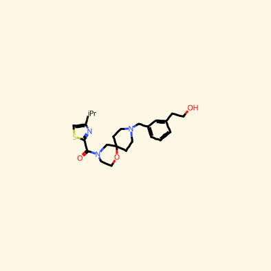 CC(C)c1csc(C(=O)N2CCOC3(CCN(Cc4cccc(CCO)c4)CC3)C2)n1